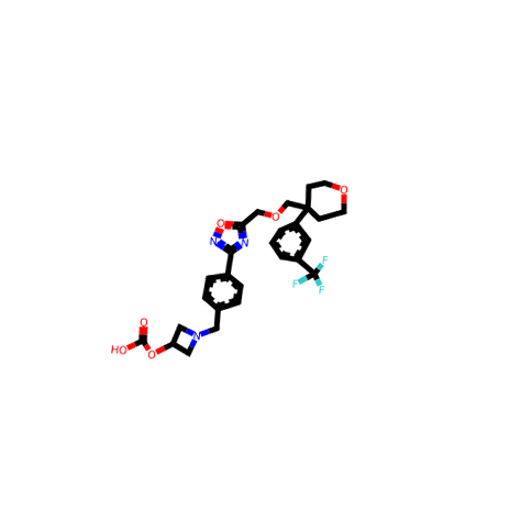 O=C(O)OC1CN(Cc2ccc(-c3noc(COCC4(c5cccc(C(F)(F)F)c5)CCOCC4)n3)cc2)C1